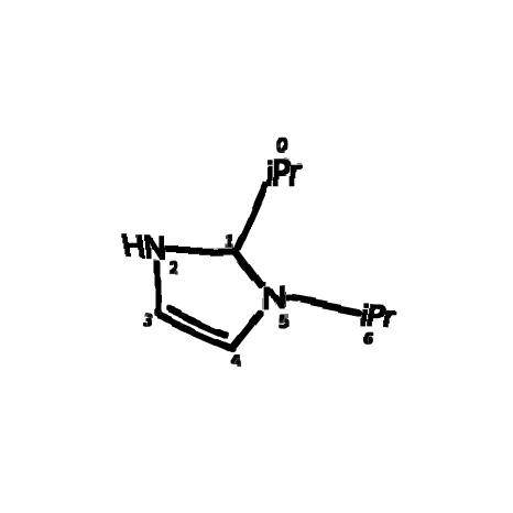 CC(C)C1NC=CN1C(C)C